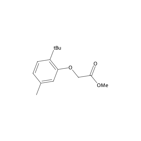 COC(=O)COc1cc(C)ccc1C(C)(C)C